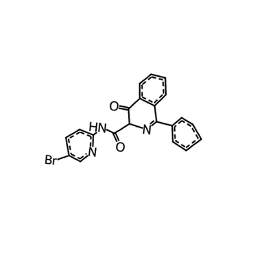 O=C(Nc1ccc(Br)cn1)C1N=C(c2ccccc2)c2ccccc2C1=O